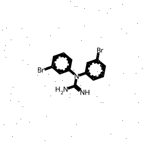 N=C(N)N(c1cccc(Br)c1)c1cccc(Br)c1